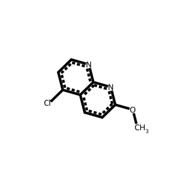 COc1ccc2c(Cl)ccnc2n1